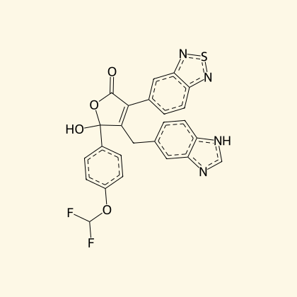 O=C1OC(O)(c2ccc(OC(F)F)cc2)C(Cc2ccc3[nH]cnc3c2)=C1c1ccc2nsnc2c1